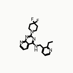 CCc1ncccc1CNc1nc(N2CCC(F)(F)CC2)nc2ncccc12